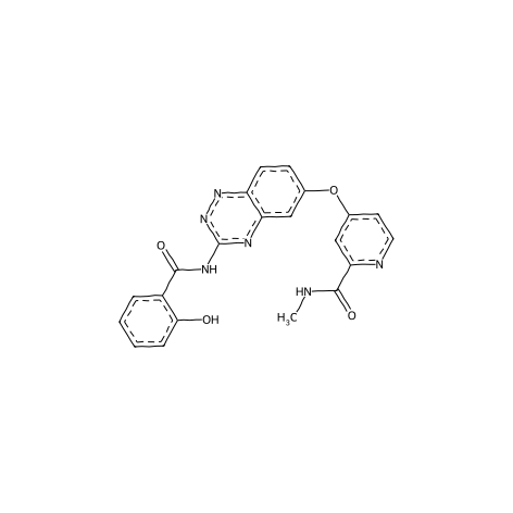 CNC(=O)c1cc(Oc2ccc3nnc(NC(=O)c4ccccc4O)nc3c2)ccn1